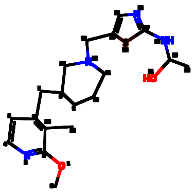 COc1nccc(CC2CCCN(Cc3cnc(NC(C)O)s3)C2)c1C